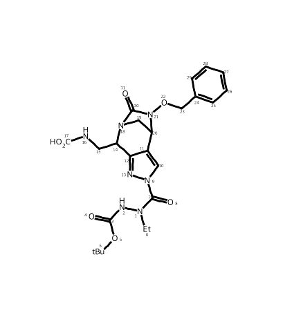 CCN(NC(=O)OC(C)(C)C)C(=O)n1cc2c(n1)C(CNC(=O)O)N1CC2N(OCc2ccccc2)C1=O